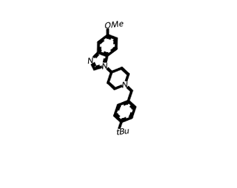 COc1ccc2c(c1)ncn2C1CCN(Cc2ccc(C(C)(C)C)cc2)CC1